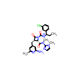 CCC(NC(=O)N1C(=O)[C@H](Cc2cc(C)nc(N)c2)[C@H]1C(=O)N(C)c1nccn1C)c1cccc(Cl)c1